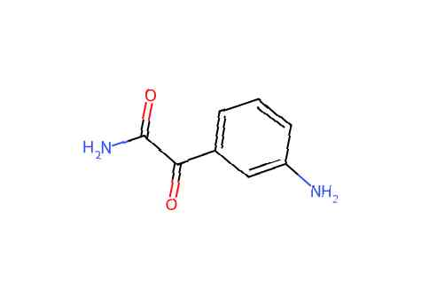 NC(=O)C(=O)c1cccc(N)c1